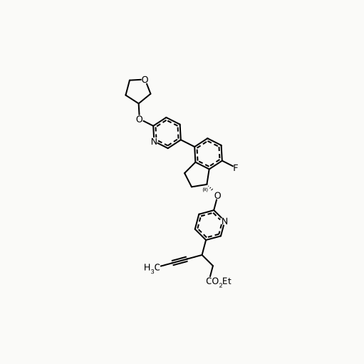 CC#CC(CC(=O)OCC)c1ccc(O[C@@H]2CCc3c(-c4ccc(OC5CCOC5)nc4)ccc(F)c32)nc1